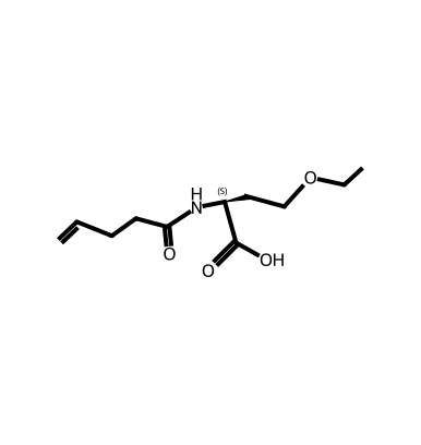 C=CCCC(=O)N[C@@H](CCOCC)C(=O)O